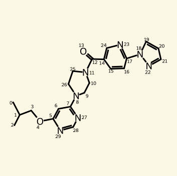 CC(C)COc1cc(N2CCN(C(=O)c3ccc(-n4cccn4)nc3)CC2)ncn1